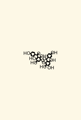 O=C(c1ccc(O)cc1)c1c(O)c(O)cc(OOc2c(O)c(O)cc(O)c2C(=O)c2ccc(O)cc2)c1O